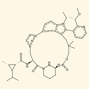 CCn1c(-c2cccnc2[C@H](C)OC)c2c3cc(ccc31)-c1csc(n1)C[C@H](NC(=O)[C@@H]1C(C(C)C)[C@@H]1C)C(=O)N1CCC[C@H](N1)C(=O)OCC(C)(C)C2